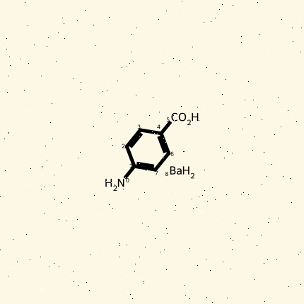 Nc1ccc(C(=O)O)cc1.[BaH2]